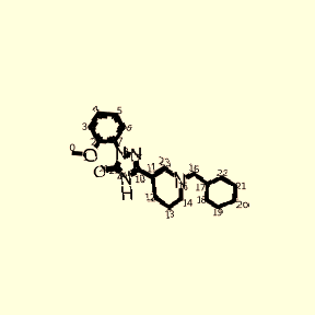 COc1ccccc1-n1nc(C2CCCN(CC3CCCCC3)C2)[nH]c1=O